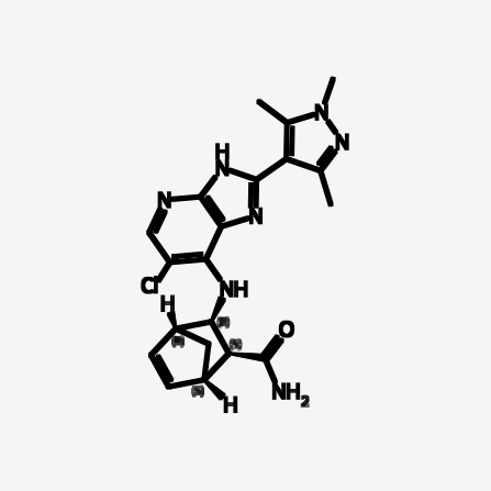 Cc1nn(C)c(C)c1-c1nc2c(N[C@H]3[C@@H](C(N)=O)[C@@H]4C=C[C@H]3C4)c(Cl)cnc2[nH]1